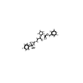 CC(C)[C@@](C#N)(CCCCC(=O)N1CCC[C@@H]1C(=O)OCc1ccccc1)c1ccccc1